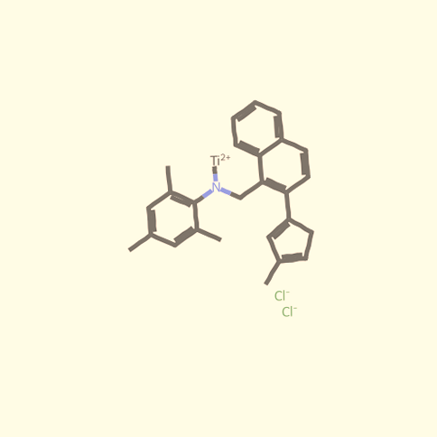 CC1=CCC(c2ccc3ccccc3c2C[N]([Ti+2])c2c(C)cc(C)cc2C)=C1.[Cl-].[Cl-]